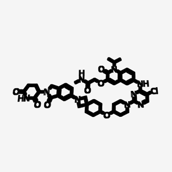 CNC(=O)COc1cc2cc(Nc3nc(N4CCC(OC5CCC6(CC5)CN(c5ccc7c(c5)C(=O)N(C5CCC(=O)NC5=O)C7)C6)CC4)ncc3Cl)ccc2n(C(C)C)c1=O